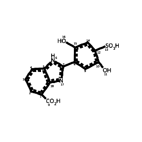 O=C(O)c1cccc2[nH]c(-c3cc(O)c(S(=O)(=O)O)cc3O)nc12